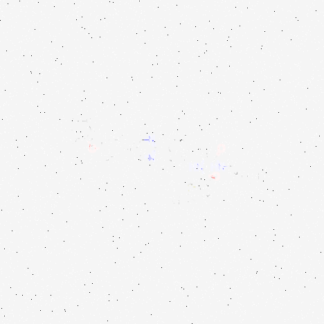 C[C@@H](NC(=O)[C@H](Cc1ccc(-c2ncc(-c3ccc(Oc4ccccc4)cc3)cn2)cc1)NC(=O)c1ccc(C(C)(C)C)s1)C(=O)O